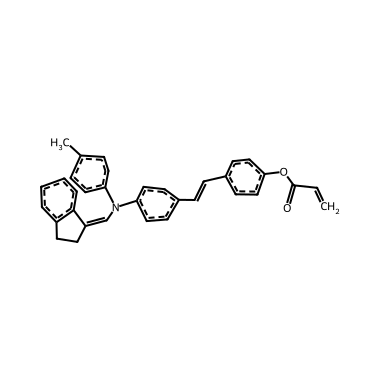 C=CC(=O)Oc1ccc(C=Cc2ccc(N(/C=C3/CCc4ccccc43)c3ccc(C)cc3)cc2)cc1